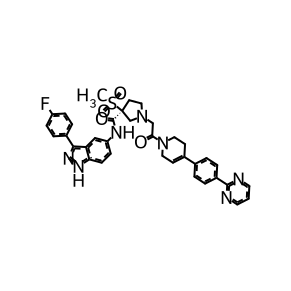 CS(=O)(=O)[C@@]1(C(=O)Nc2ccc3[nH]nc(-c4ccc(F)cc4)c3c2)CCN(CC(=O)N2CC=C(c3ccc(-c4ncccn4)cc3)CC2)C1